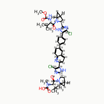 COC(=O)N[C@H](C(=O)N1[C@@H]2C[C@@H]2C[C@H]1c1nc(Cl)c(-c2ccc(-c3ccc4nc(-c5[nH]c([C@@H]6C[C@H]7C[C@H]7N6C(=O)[C@H](C(C)C)N(C)C(=O)O)nc5Cl)ccc4c3)cc2)[nH]1)C(C)C